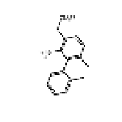 Cc1ccccc1-c1c(C)ccc(CC(=O)O)c1N